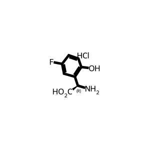 Cl.N[C@@H](C(=O)O)c1cc(F)ccc1O